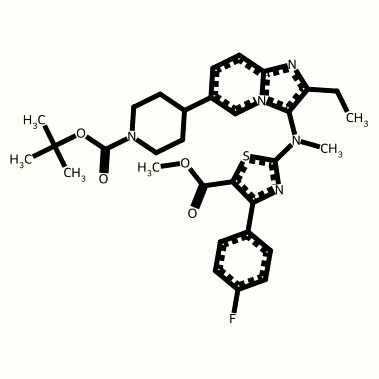 CCc1nc2ccc(C3CCN(C(=O)OC(C)(C)C)CC3)cn2c1N(C)c1nc(-c2ccc(F)cc2)c(C(=O)OC)s1